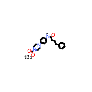 CN(C(=O)CCCc1ccccc1)c1ccc(N2CCN(C(=O)OC(C)(C)C)CC2)cc1